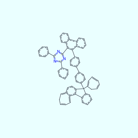 C1=CC=C(C2(c3ccc(-c4ccc(-c5c(-c6nc(-c7ccccc7)nc(-c7ccccc7)n6)c6ccccc6c6ccccc56)cc4)cc3)c3ccccc3-c3c2ccc2c3=CC=CCC=2)CC=C1